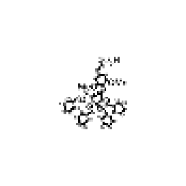 COc1cc(/C=C/C(=O)O)cc(OC)c1O[C@@H]1O[C@H](COCc2ccccc2)[C@H](OCc2ccccc2)[C@H](OCc2ccccc2)[C@H]1OCc1ccccc1